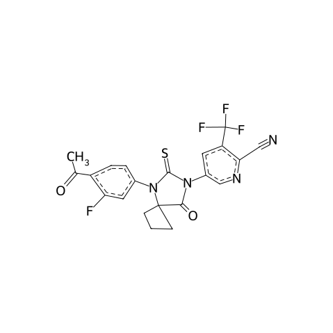 CC(=O)c1ccc(N2C(=S)N(c3cnc(C#N)c(C(F)(F)F)c3)C(=O)C23CCC3)cc1F